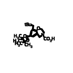 CC(C)(C)Cc1cc(B2OC(C)(C)C(C)(C)O2)cc2c1OCCN(C(=O)O)C2